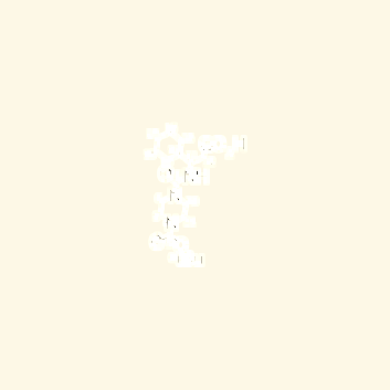 CC(C)(C)OC(=O)N1CCN(C(=O)NC(CC(=O)O)C2CCCCC2)CC1